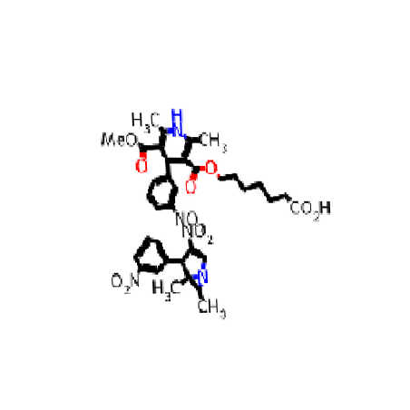 CC1N2C=C([N+](=O)[O-])C(c3cccc([N+](=O)[O-])c3)C12C.COC(=O)C1=C(C)NC(C)=C(C(=O)OCCCCCCC(=O)O)C1c1cccc([N+](=O)[O-])c1